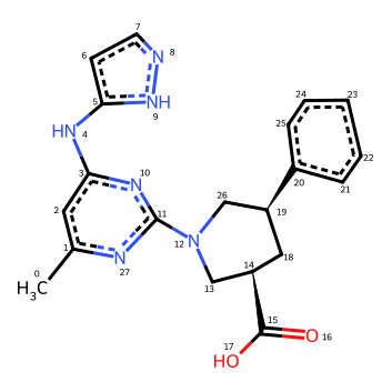 Cc1cc(Nc2ccn[nH]2)nc(N2C[C@H](C(=O)O)C[C@H](c3ccccc3)C2)n1